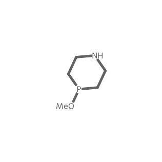 COP1CCNCC1